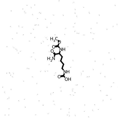 COC(=O)NC(CCCCNC(=O)O)C(N)=O